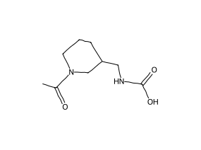 CC(=O)N1CCCC(CNC(=O)O)C1